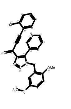 COc1ccc(OC(F)(F)F)cc1Cn1nnc(C(=O)C#Cc2ccccc2Cl)c1-c1cccnc1